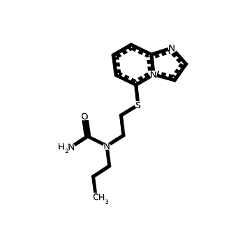 CCCN(CCSc1cccc2nccn12)C(N)=O